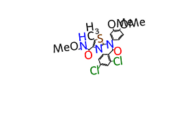 COCNC(=O)c1nc(N(C(=O)c2ccc(Cl)cc2Cl)c2ccc(OC)c(OC)c2)sc1C